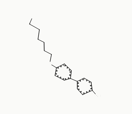 CCCCCCCOc1ccc(-c2ccc(N)cc2)cc1